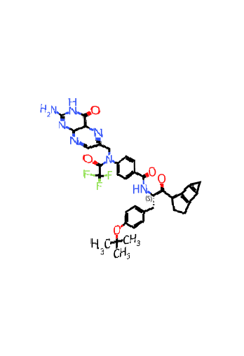 CC(C)(C)Oc1ccc(C[C@H](NC(=O)c2ccc(N(CC3=NC4C(=O)NC(N)=NC4N=C3)C(=O)C(F)(F)F)cc2)C(=O)C2CCC3=C2C2=C3C2)cc1